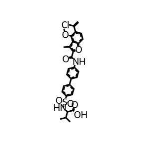 C=C(Cl)c1ccc2oc(C(=O)Nc3ccc(-c4ccc(S(=O)(=O)NC(C(=O)O)C(C)C)cc4)cc3)c(C)c2c1OC